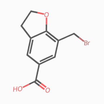 O=C(O)c1cc(CBr)c2c(c1)CCO2